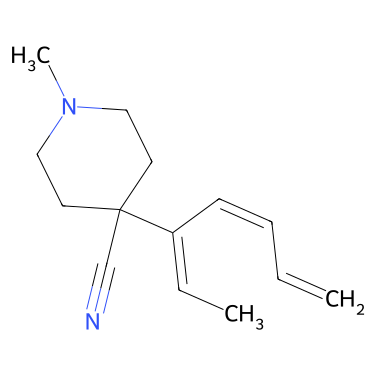 C=C/C=C\C(=C/C)C1(C#N)CCN(C)CC1